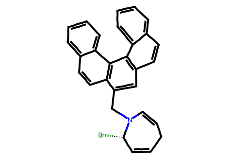 Br[C@H]1C=CCC=CN1Cc1cc2ccc3ccccc3c2c2c1ccc1ccccc12